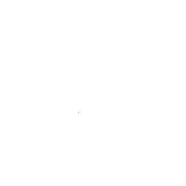 O=C(OCc1ccccc1)N1CCCCC1OC[C@H]1CO1